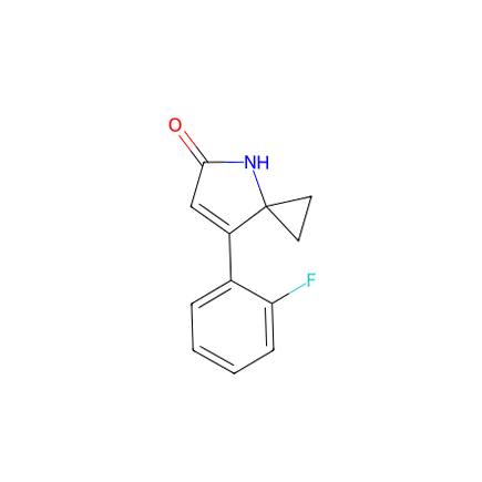 O=C1C=C(c2ccccc2F)C2(CC2)N1